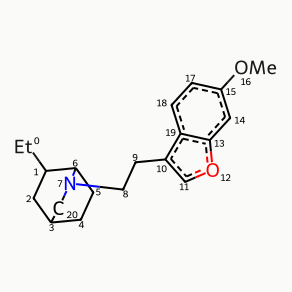 CCC1CC2CCC1N(CCc1coc3cc(OC)ccc13)C2